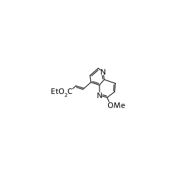 CCOC(=O)/C=C/c1ccnc2ccc(OC)nc12